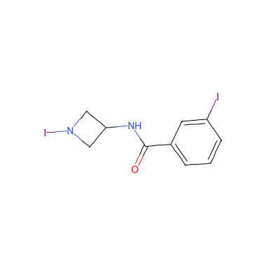 O=C(NC1CN(I)C1)c1cccc(I)c1